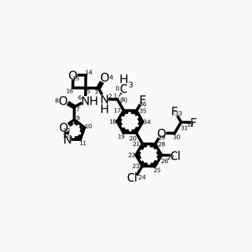 C[C@@H](NC(=O)C1(NC(=O)c2ccno2)COC1)c1ccc(-c2cc(Cl)cc(Cl)c2OCC(F)F)cc1F